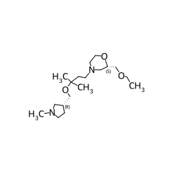 CCOC[C@@H]1CN(CCC(C)(C)OC[C@@H]2CCN(C)C2)CCO1